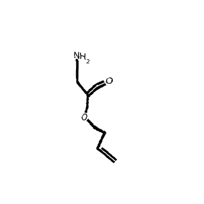 C=CCOC(=O)CN